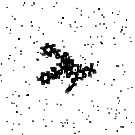 C#CCO[C@H](C)[C@H](NC(=O)OC(C)(C)C)C(=O)N1CC[C@@H]2[C@H]1[C@@H](OC(=O)Nc1ccccc1)CN2C(=O)OCc1ccccc1